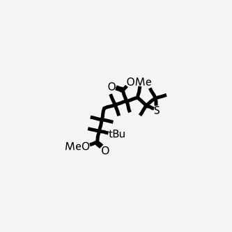 COC(=O)C(C)(C(C)C1(C)SC1(C)C)C(C)(C)CC(C)(C)C(C)(C(=O)OC)C(C)(C)C